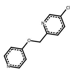 Clc1ccc(COc2ccncc2)nc1